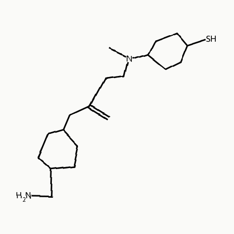 C=C(CCN(C)C1CCC(S)CC1)CC1CCC(CN)CC1